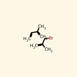 C=C(C)CBr.C=CC(=C)C